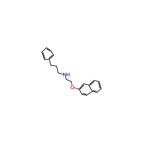 c1ccc(CCCNCCOc2ccc3ccccc3c2)cc1